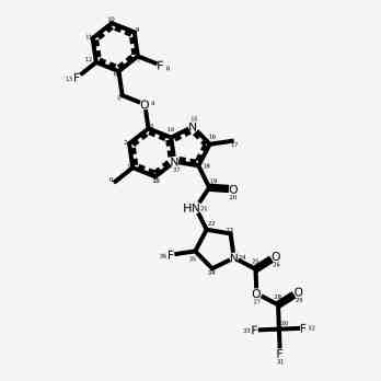 Cc1cc(OCc2c(F)cccc2F)c2nc(C)c(C(=O)NC3CN(C(=O)OC(=O)C(F)(F)F)CC3F)n2c1